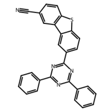 N#Cc1ccc2sc3ccc(-c4nc(-c5ccccc5)nc(-c5ccccc5)n4)cc3c2c1